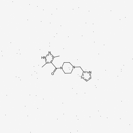 Cc1n[nH]c(C)c1C(=O)N1CCN(Cc2nccs2)CC1